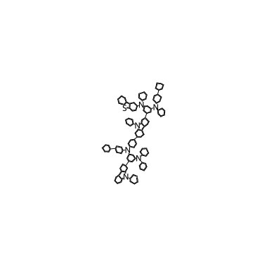 c1ccc(-c2ccc(N(c3ccc(-c4ccc5c6ccc(-c7cc(N(c8ccccc8)c8ccc(-c9ccccc9)cc8)cc(N(c8ccccc8)c8ccc9sc%10ccccc%10c9c8)c7)cc6n(-c6ccccc6)c5c4)cc3)c3cc(-c4ccc5c6ccccc6n(-c6ccccc6)c5c4)cc(N(c4ccccc4)c4ccccc4)c3)cc2)cc1